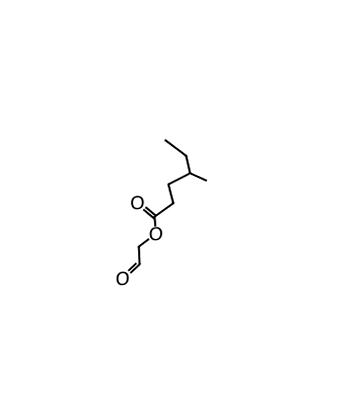 CCC(C)CCC(=O)OCC=O